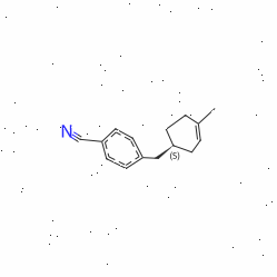 CC1=CC[C@@H](Cc2ccc(C#N)cc2)CC1